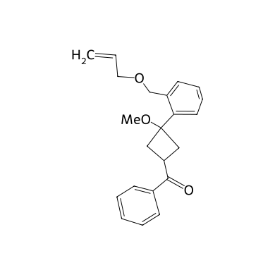 C=CCOCc1ccccc1C1(OC)CC(C(=O)c2ccccc2)C1